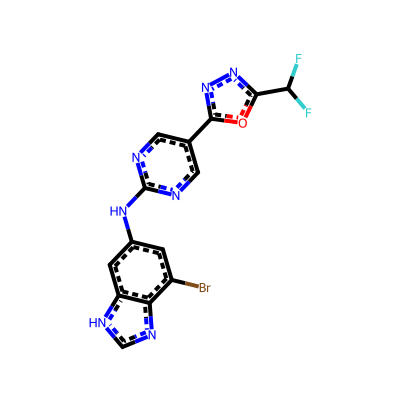 FC(F)c1nnc(-c2cnc(Nc3cc(Br)c4nc[nH]c4c3)nc2)o1